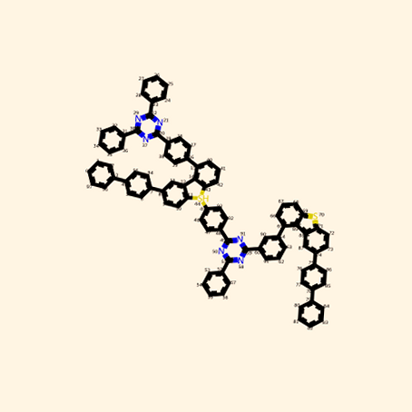 c1ccc(-c2ccc(-c3ccc4c(c3)-c3c(-c5ccc(-c6nc(-c7ccccc7)nc(-c7ccccc7)n6)cc5)cccc3[SH]4c3ccc(-c4nc(-c5ccccc5)nc(-c5cccc(-c6cccc7sc8ccc(-c9ccc(-c%10ccccc%10)cc9)cc8c67)c5)n4)cc3)cc2)cc1